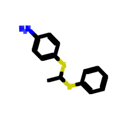 CC(Sc1ccccc1)Sc1ccc(N)cc1